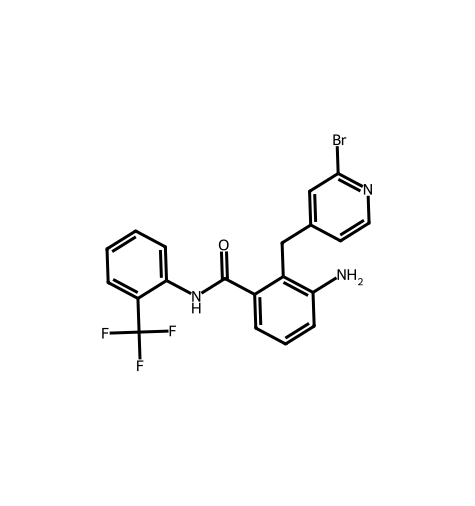 Nc1cccc(C(=O)Nc2ccccc2C(F)(F)F)c1Cc1ccnc(Br)c1